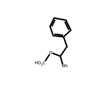 CCCC(Cc1ccccc1)OC(=O)O